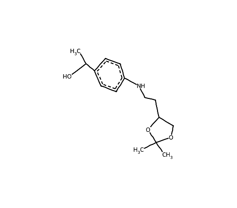 CC(O)c1ccc(NCCC2COC(C)(C)O2)cc1